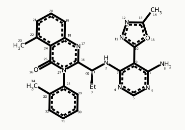 CC[C@H](Nc1ncnc(N)c1-c1nnc(C)o1)c1nc2cccc(C)c2c(=O)n1-c1ccccc1C